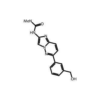 CNC(=O)Nc1cn2nc(-c3cccc(CO)c3)ccc2n1